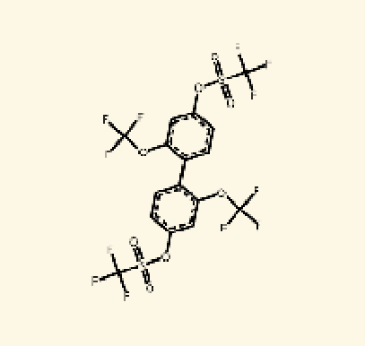 O=S(=O)(Oc1ccc(-c2ccc(OS(=O)(=O)C(F)(F)F)cc2OC(F)(F)F)c(OC(F)(F)F)c1)C(F)(F)F